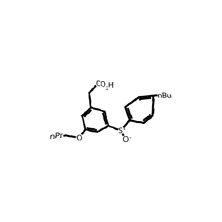 CCCCc1ccc([S+]([O-])c2cc(CC(=O)O)cc(OCCC)c2)cc1